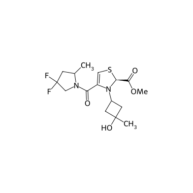 COC(=O)[C@@H]1SC=C(C(=O)N2CC(F)(F)CC2C)N1C1CC(C)(O)C1